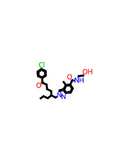 CCCC(CCCC(=O)c1ccc(Cl)cc1)Cn1cc2c(C)c(C(=O)NCCO)ccc2n1